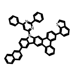 c1ccc(-c2cc(-n3c4ccc(-c5ccc6ccccc6c5)cc4c4cc5c6ccccc6c6cc(-c7cccc8ccsc78)ccc6c5cc43)nc(-c3ccccc3)n2)cc1